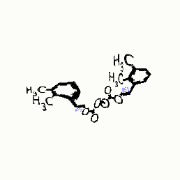 Cc1cccc(/C=C/OC(=O)OOC(=O)O/C=C/c2cccc(C)c2C)c1C